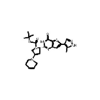 Cc1[nH]ncc1-c1cc2nc([C@@H]3CC(N4CCCCC4)CN3C(=O)OC(C)(C)C)[nH]c(=O)c2s1